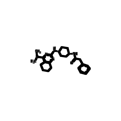 CN(C)c1nc(N[C@H]2CC[C@@H](NC(=O)Cc3ccccc3)CC2)nc2c1CCCC2